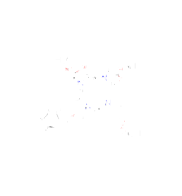 COOCCN1CCN(COCc2ccccc2)CCN(CC(=O)OC)CCN(CC(=O)OC)CC1